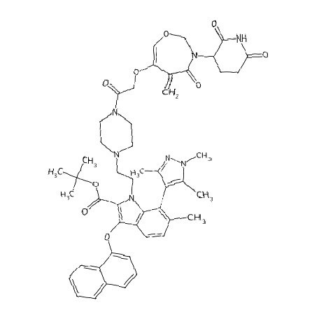 C=C1C(=O)N(C2CCC(=O)NC2=O)COC=C1OCC(=O)N1CCN(CCn2c(C(=O)OC(C)(C)C)c(Oc3cccc4ccccc34)c3ccc(C)c(-c4c(C)nn(C)c4C)c32)CC1